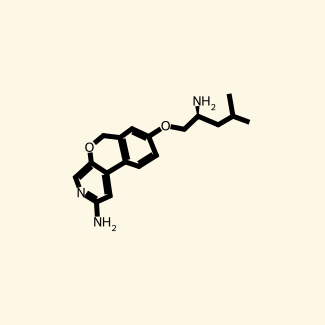 CC(C)C[C@H](N)COc1ccc2c(c1)COc1cnc(N)cc1-2